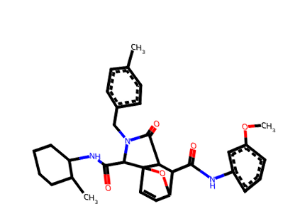 COc1cccc(NC(=O)C2C3C=CC4(O3)C2C(=O)N(Cc2ccc(C)cc2)C4C(=O)NC2CCCCC2C)c1